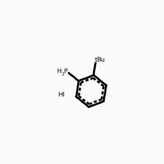 CC(C)(C)c1ccccc1P.I